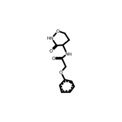 O=C(COc1ccccc1)NC1CCONC1=O